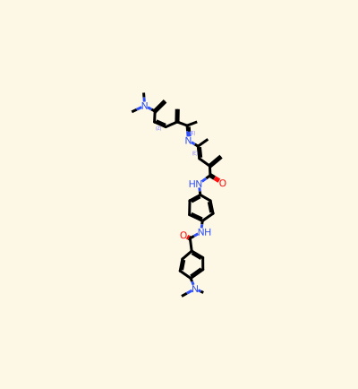 C=C(/C=C(C)/N=C(\C)C(=C)/C=C\C(=C)N(C)C)C(=O)Nc1ccc(NC(=O)c2ccc(N(C)C)cc2)cc1